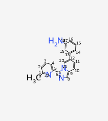 Cc1cccc(-c2ncc3ccc(-c4cccc(N)c4)cn23)n1